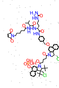 CC(C)[C@H](NC(=O)CCCCCN1C(=O)C=CC1=O)C(=O)N[C@@H](CCCNC(N)=O)C(=O)Nc1ccc(COc2cc3c(c4ccccc24)[C@H](CCl)CN3C(=O)CCCC(=O)N2c3cc(OP(=O)(O)O)c4ccccc4c3[C@@](CCl)(C(C)(C)C)C2C(C)(C)C)cc1